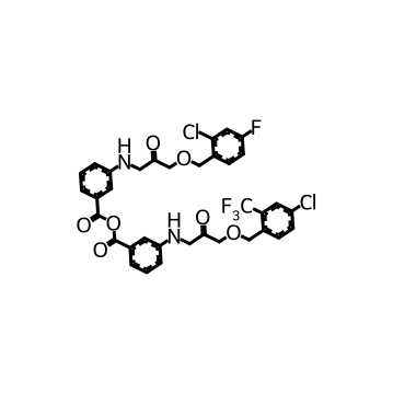 O=C(CNc1cccc(C(=O)OC(=O)c2cccc(NCC(=O)COCc3ccc(Cl)cc3C(F)(F)F)c2)c1)COCc1ccc(F)cc1Cl